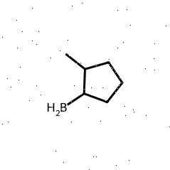 BC1CCCC1C